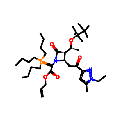 C=CCOC(=O)C(N1C(=O)[C@H]([C@@H](C)O[Si](C)(C)C(C)(C)C)[C@H]1CC(=O)c1cc(C)n(CC)n1)=P(CCCC)(CCCC)CCCC